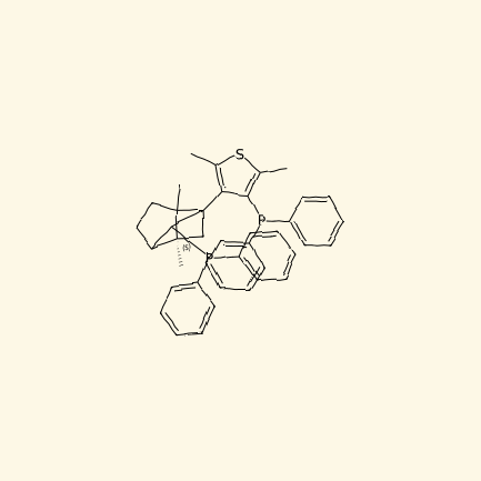 Cc1sc(C)c(C23C[C@@]4(C)C(CCC24C)C3P(c2ccccc2)c2ccccc2)c1P(c1ccccc1)c1ccccc1